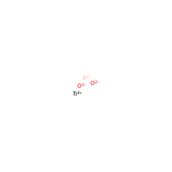 [B+3].[O-2].[O-2].[Ti+4]